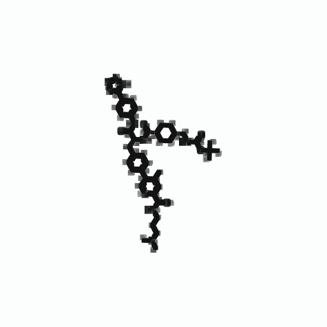 Cc1cc(C(=O)NCCCN(C)C)ncc1-c1ccc(C[C@H](NC(=O)[C@H]2CC[C@H](CNC(=O)OC(C)(C)C)CC2)C(=O)Nc2ccc(-c3nnn[nH]3)cc2)cc1